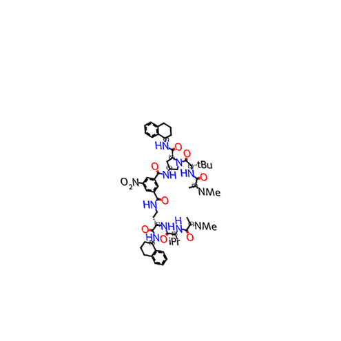 CN[C@@H](C)C(=O)N[C@H](C(=O)N[C@@H](CCNC(=O)c1cc(C(=O)N[C@H]2C[C@@H](C(=O)N[C@@H]3CCCc4ccccc43)N(C(=O)[C@@H](NC(=O)[C@H](C)NC)C(C)(C)C)C2)cc([N+](=O)[O-])c1)C(=O)N[C@@H]1CCCc2ccccc21)C(C)C